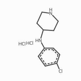 Cl.Cl.Clc1ccc(NC2CCNCC2)cc1